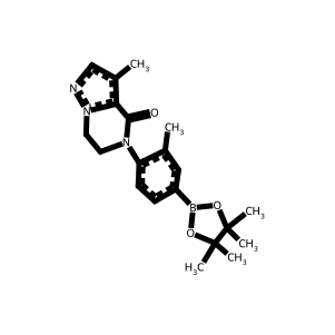 Cc1cc(B2OC(C)(C)C(C)(C)O2)ccc1N1CCn2ncc(C)c2C1=O